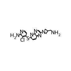 NCC1CN(c2cnc3nc(Sc4ccnc(N)c4Cl)ccc3n2)C1